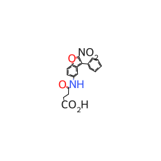 O=C(O)CCC(=O)Nc1ccc2oc([N+](=O)[O-])c(-c3ccccc3)c2c1